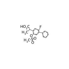 CC(C(=O)O)c1cc(F)c(-c2ccccc2)cc1OS(C)(=O)=O